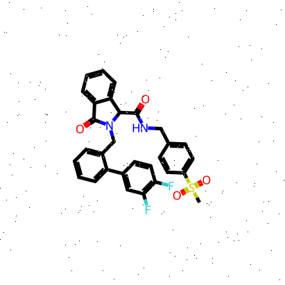 CS(=O)(=O)c1ccc(CNC(=O)C2c3ccccc3C(=O)N2Cc2ccccc2-c2ccc(F)c(F)c2)cc1